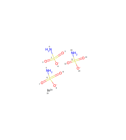 NS(=O)(=O)[O-].NS(=O)(=O)[O-].NS(=O)(=O)[O-].[In+3]